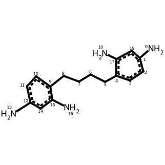 Nc1ccc(CCCCc2ccc(N)cc2N)c(N)c1